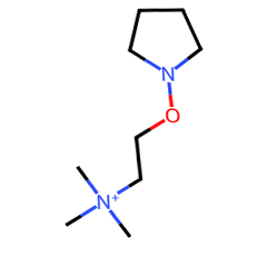 C[N+](C)(C)CCON1CCCC1